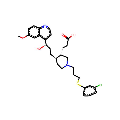 COc1ccc2nccc([C@H](O)CC[C@@H]3CCN(CCCSc4cccc(Cl)c4)C[C@H]3CCC(=O)O)c2c1